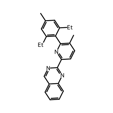 CCc1cc(C)cc(CC)c1-c1nc(-c2ncc3ccccc3n2)ccc1C